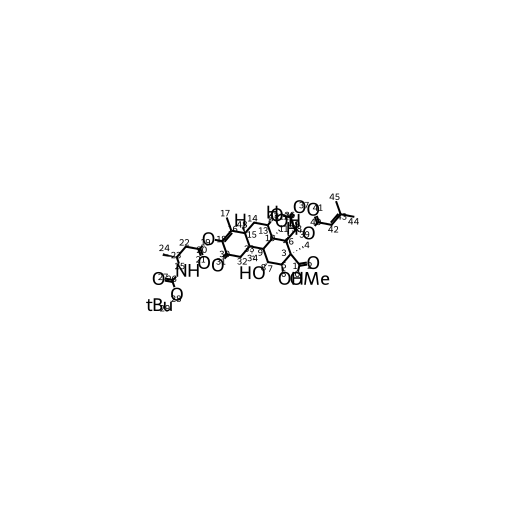 COC(=O)[C@@]1(C)[C@@H](O)[C@H](O)C2[C@@]3(CO)[C@@H](C[C@H]4C(C)=C(OC(=O)C[C@H](C)NC(=O)OC(C)(C)C)C(=O)C[C@]24C)OC(=O)[C@H](OC(=O)C=C(C)C)[C@@H]13